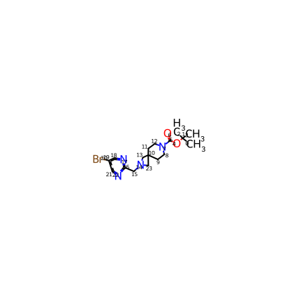 CC(C)(C)OC(=O)N1CCC2(CC1)CN(Cc1ncc(Br)cn1)C2